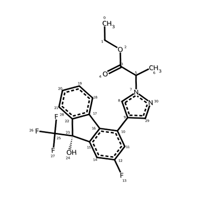 CCOC(=O)C(C)n1cc(-c2cc(F)cc3c2-c2ccccc2[C@]3(O)C(F)(F)F)cn1